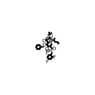 C=CCC(C)N(C(=O)OC(C)(C)C)n1cc(C(=O)NCc2c(F)cc(F)cc2F)c(=O)c(OCc2ccccc2)c1C(=O)O